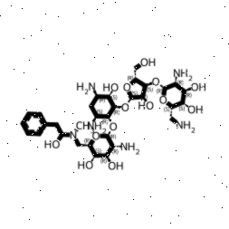 CN(C[C@H]1O[C@H](O[C@H]2[C@H](O[C@@H]3O[C@H](CO)[C@@H](O[C@H]4O[C@@H](CN)[C@@H](O)[C@H](O)[C@H]4N)[C@H]3O)[C@@H](O)[C@H](N)C[C@@H]2N)[C@H](N)[C@@H](O)[C@@H]1O)C(O)Cc1ccccc1